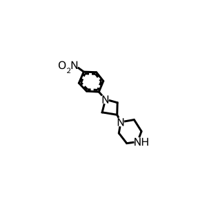 O=[N+]([O-])c1ccc(N2CC(N3CCNCC3)C2)cc1